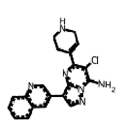 Nc1c(Cl)c(C2=CCNCC2)nc2c(-c3cnc4ccccc4c3)cnn12